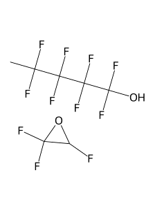 CC(F)(F)C(F)(F)C(F)(F)C(O)(F)F.FC1OC1(F)F